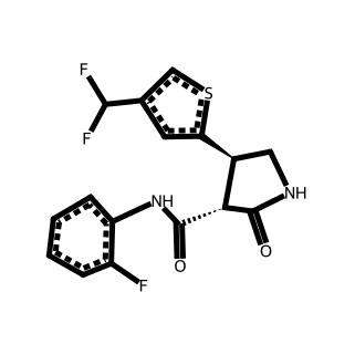 O=C1NC[C@H](c2cc(C(F)F)cs2)[C@H]1C(=O)Nc1ccccc1F